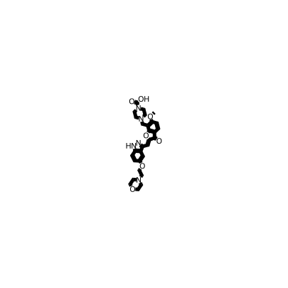 COc1ccc2c(c1CN1CCN(C(=O)O)CC1)OC(=Cc1n[nH]c3ccc(OCCN4CCOCC4)cc13)C2=O